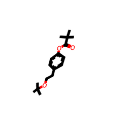 CC(C)(C)OCCc1ccc(OC(=O)C(C)(C)C)cc1